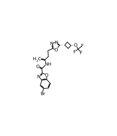 C=C(CCc1nnc([C@H]2C[C@@H](OC(F)(F)F)C2)o1)NC(=O)c1nc2cc(Br)ccc2o1